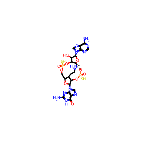 NCCC1C2COP(=O)(S)OC3C(COP(=O)(S)OC1C(n1cnc4c(=O)[nH]c(N)nc41)O2)OC(n1cnc2c(N)ncnc21)C3O